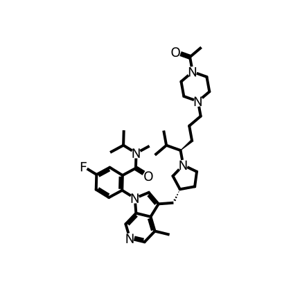 CC(=O)N1CCN(CCC[C@H](C(C)C)N2CC[C@H](Cc3cn(-c4ccc(F)cc4C(=O)N(C)C(C)C)c4cncc(C)c34)C2)CC1